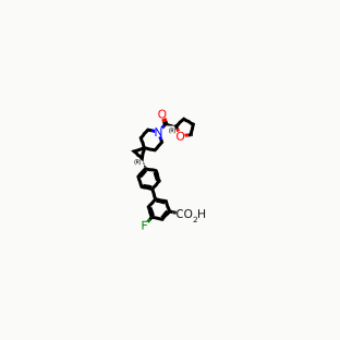 O=C(O)c1cc(F)cc(-c2ccc([C@@H]3CC34CCN(C(=O)[C@H]3CCCO3)CC4)cc2)c1